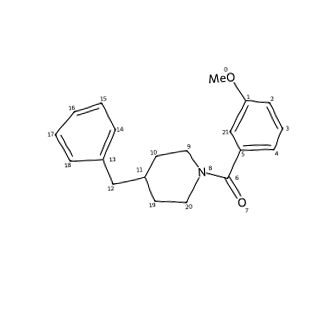 COc1cccc(C(=O)N2CCC(Cc3ccccc3)CC2)c1